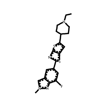 CCN1CCC(c2cc3sc(-c4cc(F)c5nn(C)cc5c4)nc3s2)CC1